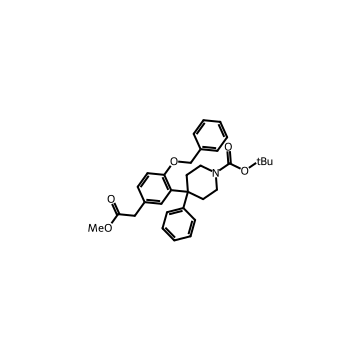 COC(=O)Cc1ccc(OCc2ccccc2)c(C2(c3ccccc3)CCN(C(=O)OC(C)(C)C)CC2)c1